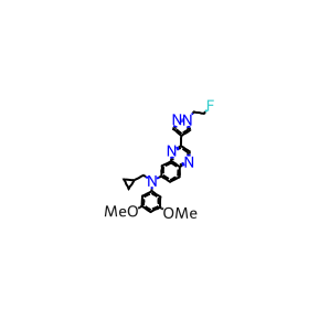 COc1cc(OC)cc(N(CC2CC2)c2ccc3ncc(-c4cnn(CCF)c4)nc3c2)c1